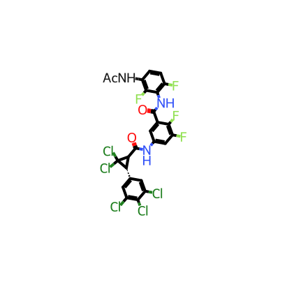 CC(=O)Nc1ccc(F)c(NC(=O)c2cc(NC(=O)C3[C@H](c4cc(Cl)c(Cl)c(Cl)c4)C3(Cl)Cl)cc(F)c2F)c1F